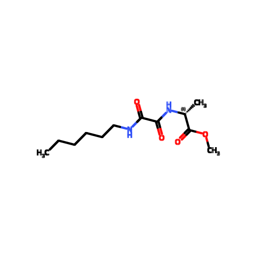 CCCCCCNC(=O)C(=O)N[C@H](C)C(=O)OC